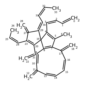 C=C/C=C\C1=C(C)c2c(ccc(=C)ccccc2=C)C12C(C=C)=C(/C=C\C)C(=C)/C2=C\C=C/C